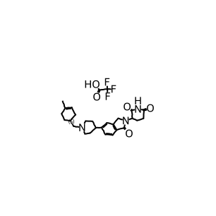 CC1=CC[C@@H](CN2CCC(c3ccc4c(c3)CN(C3CCC(=O)NC3=O)C4=O)CC2)CC1.O=C(O)C(F)(F)F